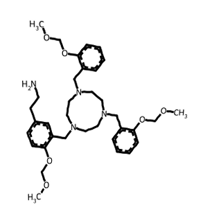 COCOc1ccccc1CN1CCN(Cc2ccccc2OCOC)CCN(Cc2cc(CCN)ccc2OCOC)CC1